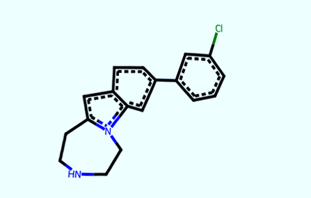 Clc1cccc(-c2ccc3cc4n(c3c2)CCNCC4)c1